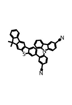 CC1(C)c2ccccc2-c2cc3c(cc21)sc1cc(-c2cc(C#N)ccc2-n2c4ccccc4c4cc(C#N)ccc42)ccc13